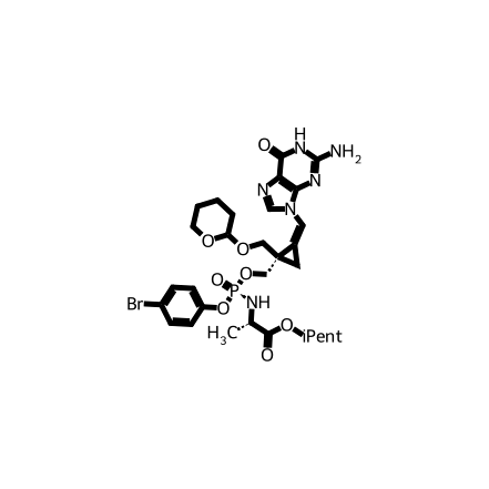 CCCC(C)OC(=O)[C@H](C)N[P@](=O)(OC[C@@]1(COC2CCCCO2)C/C1=C/n1cnc2c(=O)[nH]c(N)nc21)Oc1ccc(Br)cc1